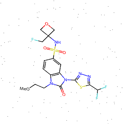 COCCn1c(=O)n(-c2nnc(C(F)F)s2)c2cc(S(=O)(=O)NC3(CF)COC3)ccc21